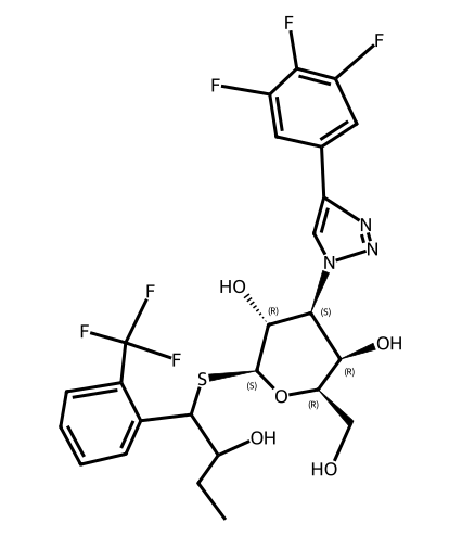 CCC(O)C(S[C@@H]1O[C@H](CO)[C@H](O)[C@H](n2cc(-c3cc(F)c(F)c(F)c3)nn2)[C@H]1O)c1ccccc1C(F)(F)F